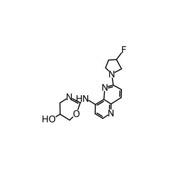 OC1CN=C(Nc2ccnc3ccc(N4CCC(F)C4)nc23)OC1